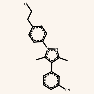 Cc1nn(-c2ccc(CCCl)cc2)c(C)c1-c1cccc(C#N)c1